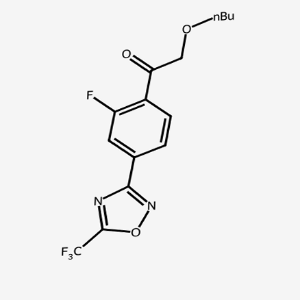 CCCCOCC(=O)c1ccc(-c2noc(C(F)(F)F)n2)cc1F